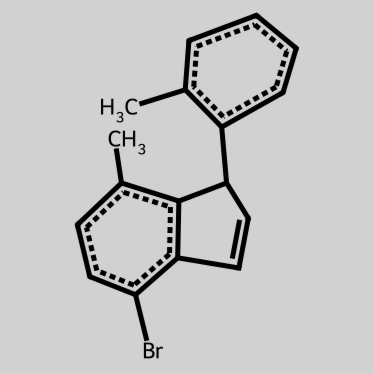 Cc1ccccc1C1C=Cc2c(Br)ccc(C)c21